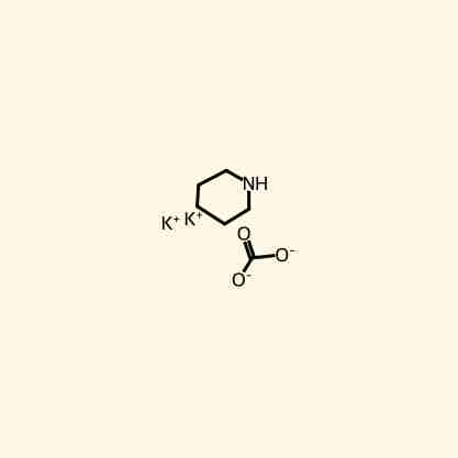 C1CCNCC1.O=C([O-])[O-].[K+].[K+]